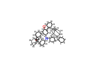 c1ccc2c(c1)-c1ccc(N(c3ccc4oc5ccccc5c4c3)c3cccc4c3-c3ccccc3C43C4CC5CC(C4)CC3C5)cc1C21C2CC3CC(C2)CC1C3